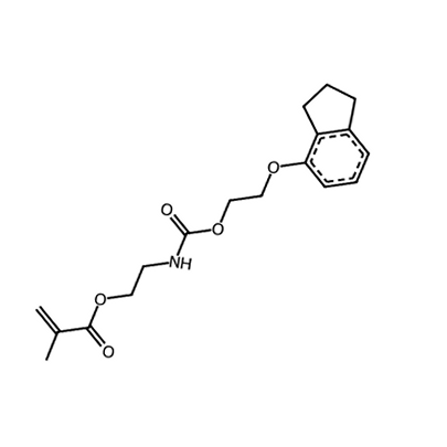 C=C(C)C(=O)OCCNC(=O)OCCOc1cccc2c1CCC2